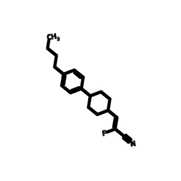 CCCCc1ccc(C2CCC(C=C(F)C#N)CC2)cc1